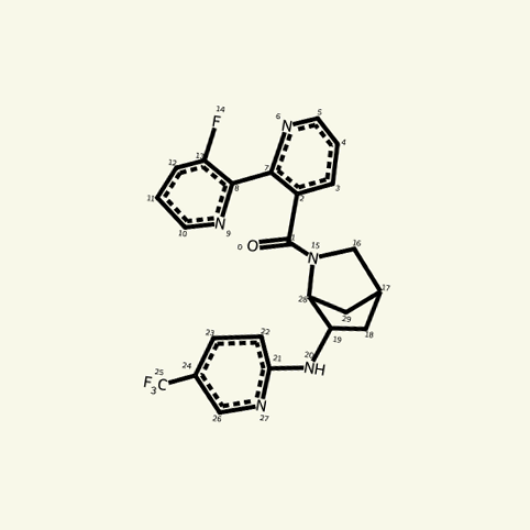 O=C(c1cccnc1-c1ncccc1F)N1CC2CC(Nc3ccc(C(F)(F)F)cn3)C1C2